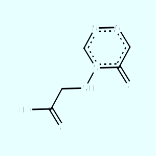 O=C(O)CNn1cnncc1=O